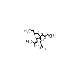 CCCC[Si](CC=C(C)C)(CCCC)CCCC